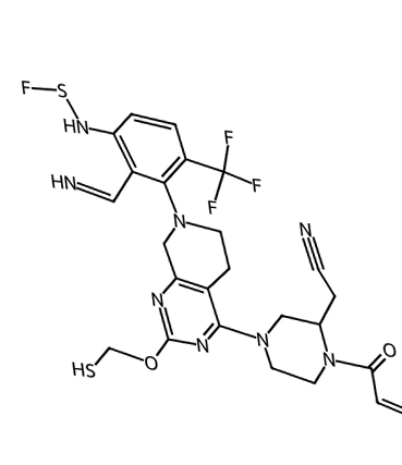 C=CC(=O)N1CCN(c2nc(OCS)nc3c2CCN(c2c(C(F)(F)F)ccc(NSF)c2C=N)C3)CC1CC#N